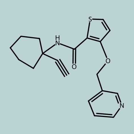 C#CC1(NC(=O)c2sccc2OCc2cccnc2)CCCCC1